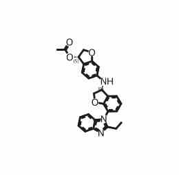 CCc1nc2ccccc2n1-c1cccc2c1OC[C@@H]2Nc1ccc2c(c1)OC[C@H]2OC(C)=O